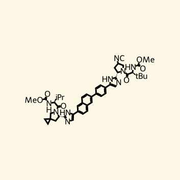 [C-]#[N+]C1C[C@@H](c2ncc(-c3ccc(-c4ccc5cc(-c6cnc([C@@H]7CC8(CC8)CN7C(=O)[C@@H](NC(=O)OC)C(C)C)[nH]6)ccc5c4)cc3)[nH]2)N(C(=O)[C@@H](NC(=O)OC)C(C)(C)C)C1